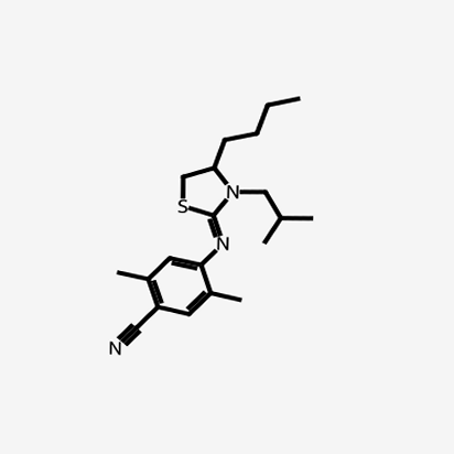 CCCCC1CSC(=Nc2cc(C)c(C#N)cc2C)N1CC(C)C